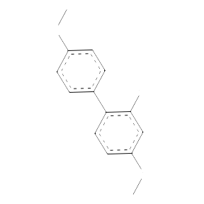 COc1ccc(-c2ccc(SC)cc2O)cc1